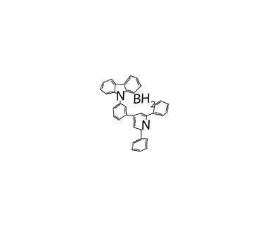 Bc1cccc2c3ccccc3n(-c3cccc(-c4cc(-c5ccccc5)nc(-c5ccccc5)c4)c3)c12